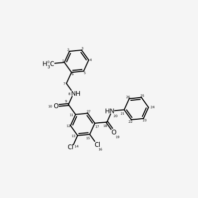 Cc1ccccc1CNC(=O)c1cc(Cl)c(Cl)c(C(=O)Nc2ccccc2)c1